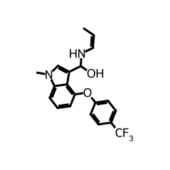 C/C=C\NC(O)c1cn(C)c2cccc(Oc3ccc(C(F)(F)F)cc3)c12